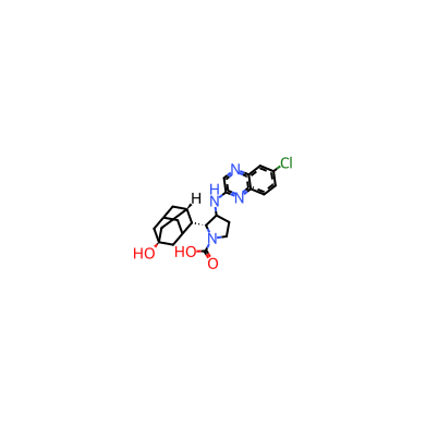 O=C(O)N1CCC(Nc2cnc3cc(Cl)ccc3n2)[C@H]1C1C2CC3C[C@H]1C[C@@](O)(C3)C2